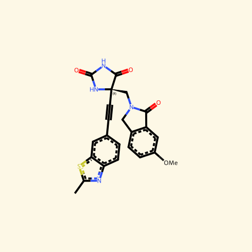 COc1ccc2c(c1)C(=O)N(C[C@@]1(C#Cc3ccc4nc(C)sc4c3)NC(=O)NC1=O)C2